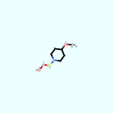 COC1CCN(SOO)CC1